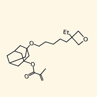 C=C(C)C(=O)OC12CC3CC(CC(OCCCCCC4(CC)COC4)(C3)C1)C2